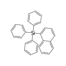 c1ccc([Si](c2ccccc2)(c2ccccc2)c2cccc3ccccc23)cc1